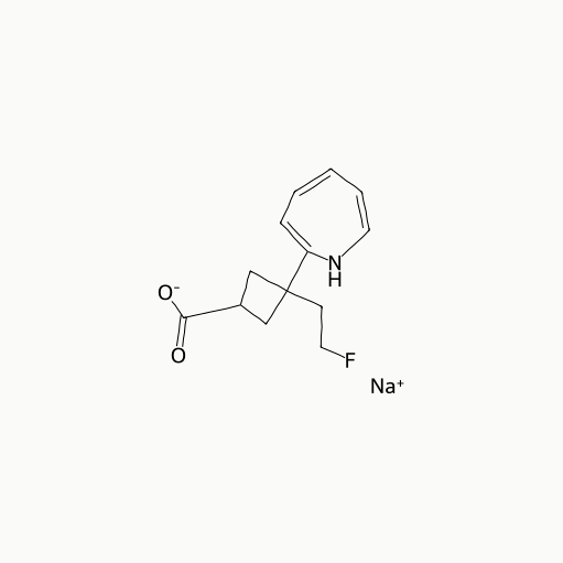 O=C([O-])C1CC(CCF)(C2=CC=CC=CN2)C1.[Na+]